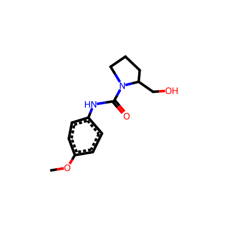 COc1ccc(NC(=O)N2CCCC2CO)cc1